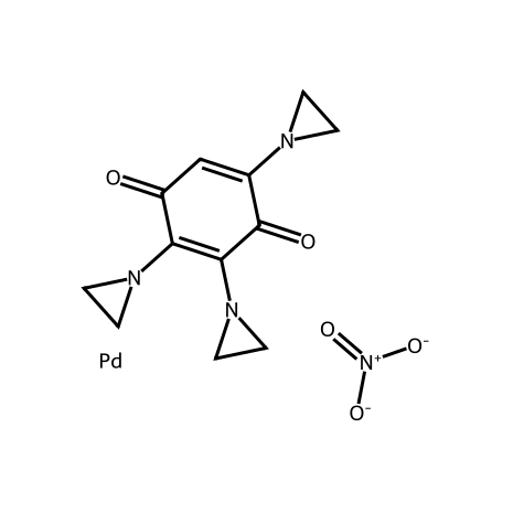 O=C1C=C(N2CC2)C(=O)C(N2CC2)=C1N1CC1.O=[N+]([O-])[O-].[Pd]